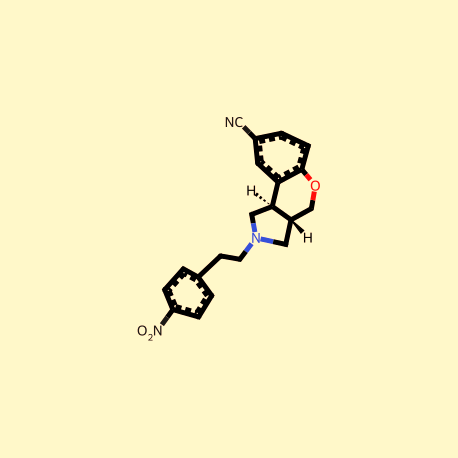 N#Cc1ccc2c(c1)[C@@H]1CN(CCc3ccc([N+](=O)[O-])cc3)C[C@H]1CO2